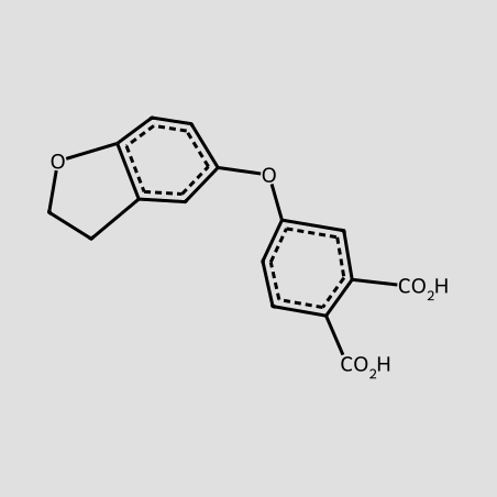 O=C(O)c1ccc(Oc2ccc3c(c2)CCO3)cc1C(=O)O